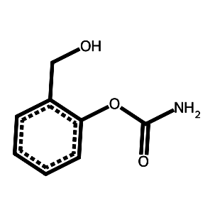 NC(=O)Oc1ccccc1CO